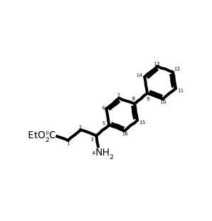 CCOC(=O)CCC(N)c1ccc(-c2ccccc2)cc1